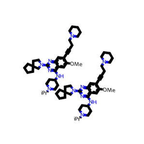 COc1cc2c(NC3CCN(C(C)C)CC3)nc(N3CCC4(CCCC4)C3)nc2cc1C#CCCN1CCCCC1.COc1cc2c(NC3CCN(C(C)C)CC3)nc(N3CCC4(CCCC4)C3)nc2cc1C#CCCN1CCCCC1